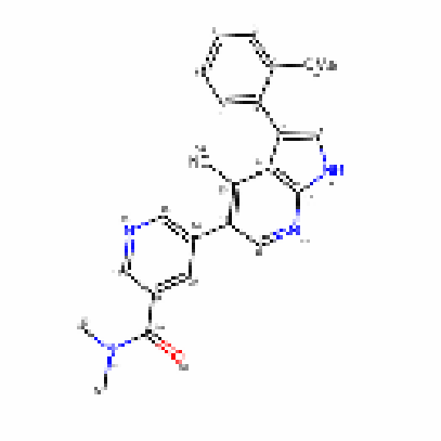 COc1ccccc1-c1c[nH]c2ncc(-c3cncc(C(=O)N(C)C)c3)c(C#N)c12